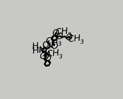 COCCCOc1cc(C(=O)N(CC2CNCC2N(C)S(=O)(=O)Cc2ccccc2)C(C)C)ccc1OC